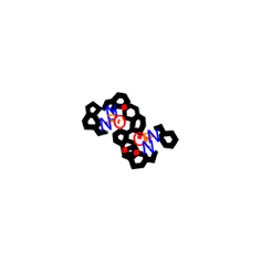 c1ccc2c(c1)ccn2P(Oc1ccc2c(c1-c1c(OP(n3ccc4ccccc43)n3ccc4ccc5c(c43)CCC5)ccc3c1CCCC3)CCCC2)n1ccc2ccc3c(c21)CCC3